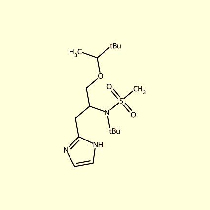 CC(OCC(Cc1ncc[nH]1)N(C(C)(C)C)S(C)(=O)=O)C(C)(C)C